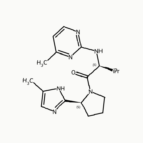 Cc1ccnc(N[C@H](C(=O)N2CCC[C@H]2c2ncc(C)[nH]2)C(C)C)n1